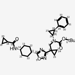 CC(C)(C)OC(=O)N(CC1(c2noc([C@H]3CC[C@@H](NC(=O)C4CC4)CC3)n2)CC1)[C@@H]1C[C@H]1c1ccccc1